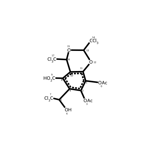 CC(=O)Oc1c(OC(C)=O)c(C(O)C(Cl)(Cl)Cl)c(C(=O)O)c2c1OC(C(Cl)(Cl)Cl)OC2C(Cl)(Cl)Cl